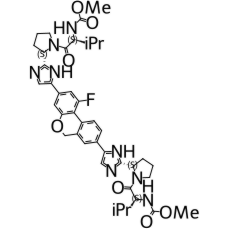 COC(=O)N[C@H](C(=O)N1CCC[C@H]1c1ncc(-c2ccc3c(c2)COc2cc(-c4cnc([C@@H]5CCCN5C(=O)[C@@H](NC(=O)OC)C(C)C)[nH]4)cc(F)c2-3)[nH]1)C(C)C